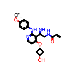 C=CC(=O)NCC(=N)c1c(O[C@H]2C[C@H](O)C2)ccnc1Nc1ccc(OC(F)(F)F)cc1